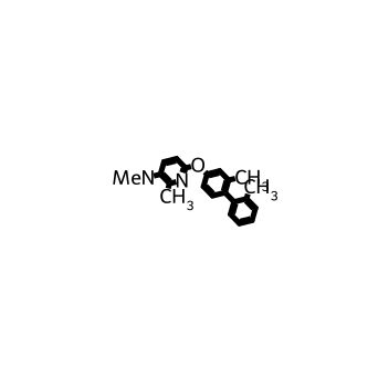 CNc1ccc(Oc2ccc(-c3ccccc3C)c(C)c2)nc1C